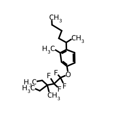 CCCCC(C)c1ccc(OC(F)(F)C(F)(F)C(C)(CC)CC)cc1C